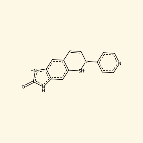 O=c1[nH]c2cc3c(cc2[nH]1)[SH]N(c1ccncc1)C=C3